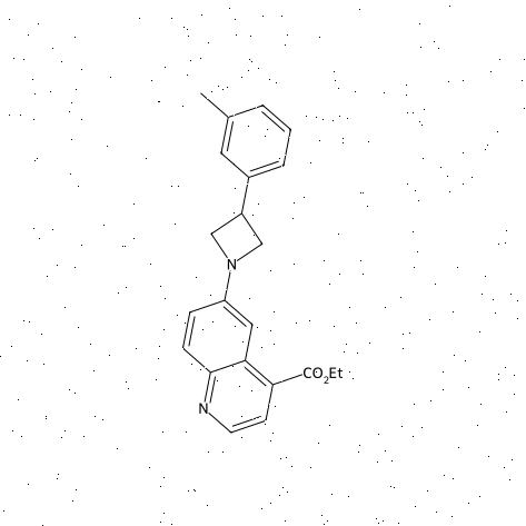 CCOC(=O)c1ccnc2ccc(N3CC(c4cccc(C)c4)C3)cc12